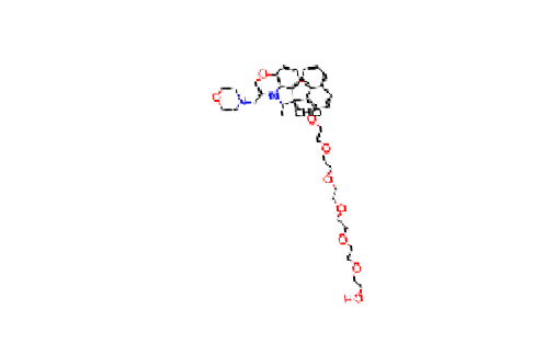 CC1N2c3c(cccc3C1(C=O)c1c(OCCOCCOCCOCCOCCOCCO)ccc3ccccc13)OCC2CN1CCOCC1